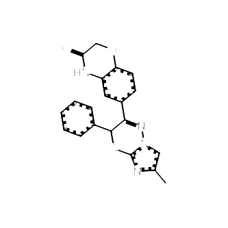 Cc1cn2c(n1)SC(c1ccccc1)C(c1ccc3c(c1)NC(=O)CO3)=N2